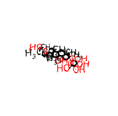 CC(C)(O)[C@H]1CC[C@@](C)([C@H]2CC[C@@]3(C)[C@H]2C[C@H](O)C2[C@@]4(C)CC[C@@H](O[C@@H]5O[C@H](CO)[C@@H](O)[C@H](O)[C@H]5O)C(C)(C)C4CC[C@]23C)O1